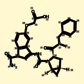 NC(=O)n1cc(NC(=O)N2[C@@H]3C[C@@H]3C[C@H]2C(=O)N(F)Cc2ccccc2)c2cc(OCC(=O)O)ccc21